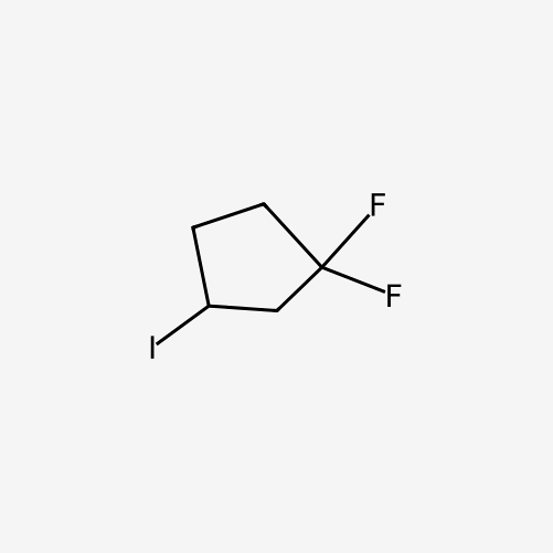 FC1(F)CCC(I)C1